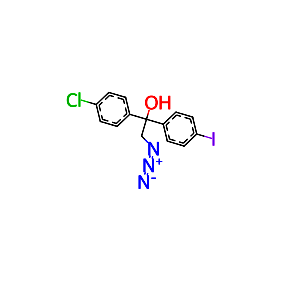 [N-]=[N+]=NCC(O)(c1ccc(Cl)cc1)c1ccc(I)cc1